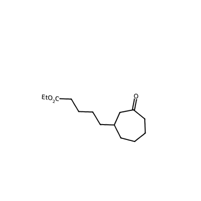 CCOC(=O)CCCCC1CCCCC(=O)C1